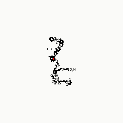 Cc1c(-c2ccc(N3CCc4cccc(C(=O)Nc5nc6ccccc6s5)c4C3)nc2C(=O)O)cnn1CC12CC3(C)CC(C)(C1)CC(OCCN(C)C(=O)OCc1ccc(NC(=O)[C@H](C)NC(=O)[C@@H](NC(=O)CCCCCN4C(=O)C=CC4=O)C(C)C)cc1C#CCOCCCS(=O)(=O)O)(C3)C2